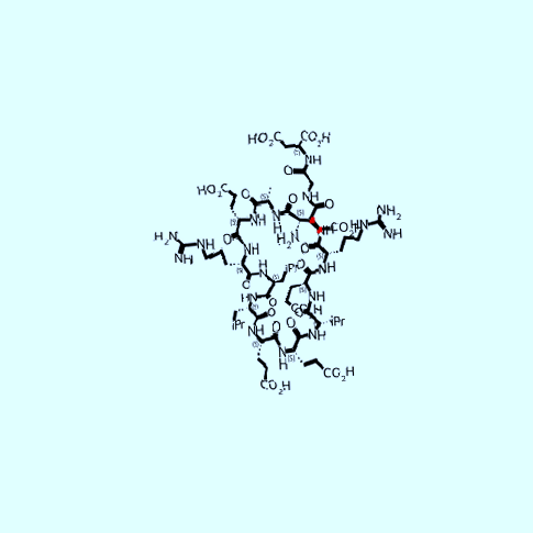 CC(C)C[C@H](NC(=O)[C@H](CCCNC(=N)N)NC(=O)[C@H](CCC(=O)O)NC(=O)[C@H](C)NC(=O)[C@@H](N)CCC(=O)O)C(=O)N[C@@H](CC(C)C)C(=O)N[C@@H](CCC(=O)O)C(=O)N[C@@H](CCC(=O)O)C(=O)N[C@H](C(=O)N[C@@H](CCC(=O)O)C(=O)N[C@@H](CCCNC(=N)N)C(=O)NCC(=O)NCC(=O)N[C@@H](CC(=O)O)C(=O)O)C(C)C